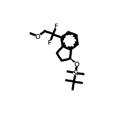 COCC(F)(F)c1cccc2c1CC[C@@H]2O[Si](C)(C)C(C)(C)C